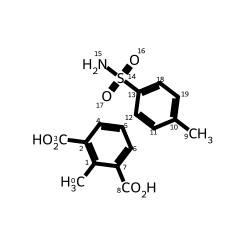 Cc1c(C(=O)O)cccc1C(=O)O.Cc1ccc(S(N)(=O)=O)cc1